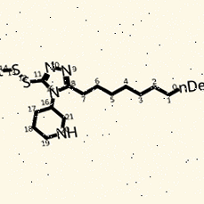 CCCCCCCCCCCCCCCCCc1nnc(SSCC)n1C1CCCNC1